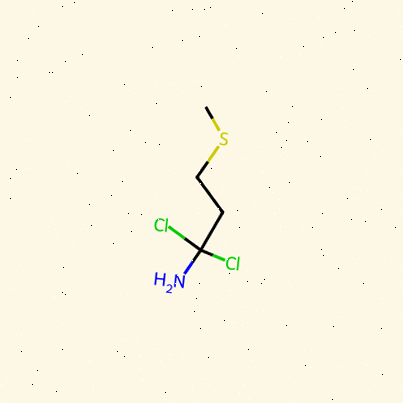 CSCCC(N)(Cl)Cl